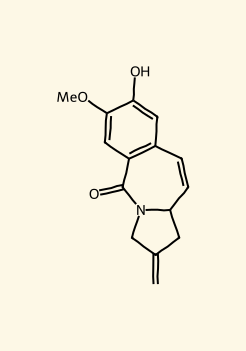 C=C1CC2C=Cc3cc(O)c(OC)cc3C(=O)N2C1